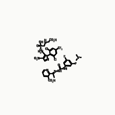 C/C(=N\NC(=O)Nc1cc(F)cc(F)c1)c1ncccc1C(=O)O.C[S+](C)C.Nc1c([N+](=O)[O-])cnn1-c1c(Cl)cc(C(F)(F)F)cc1Cl.O=C(O)CNCP(=O)([O-])O